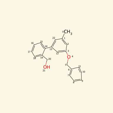 Cc1cc(OCc2ccccc2)cc(-c2ccccc2CO)c1